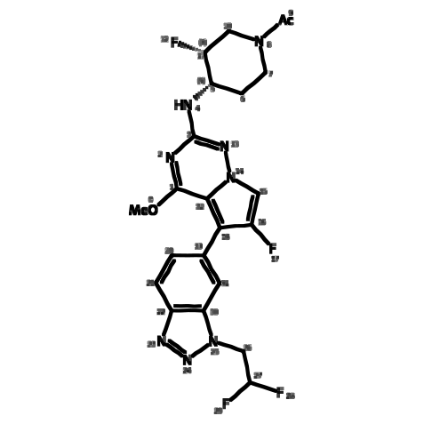 COc1nc(N[C@H]2CCN(C(C)=O)C[C@H]2F)nn2cc(F)c(-c3ccc4nnn(CC(F)F)c4c3)c12